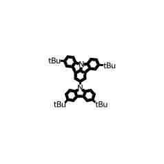 CC(C)(C)c1ccc2c(c1)c1cc(C(C)(C)C)ccc1n2-c1cc2c3cc(C(C)(C)C)ccc3n3c4ccc(C(C)(C)C)cc4c(c1)c23